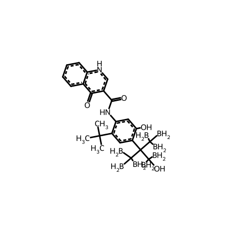 BC(B)(B)C(c1cc(C(C)(C)C)c(NC(=O)c2c[nH]c3ccccc3c2=O)cc1O)(C(B)(B)B)C(B)(B)O